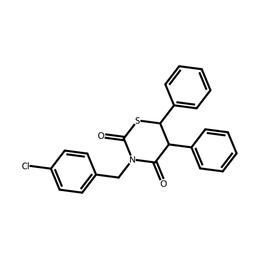 O=C1SC(c2ccccc2)C(c2ccccc2)C(=O)N1Cc1ccc(Cl)cc1